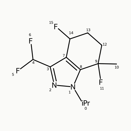 CC(C)n1nc(C(F)F)c2c1C(C)(F)CCC2F